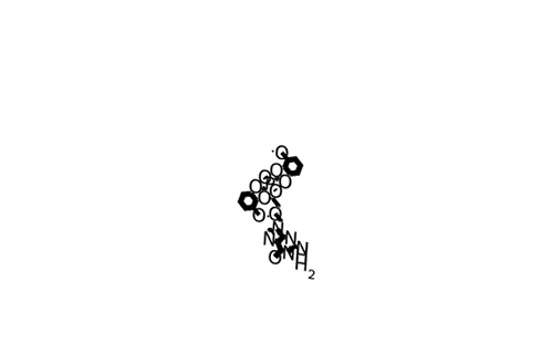 Nc1nc2c(ncn2COCCOP(=O)(C2Oc3cccc([O])c3O2)C2Oc3cccc([O])c3O2)c(=O)[nH]1